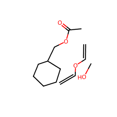 C=COC=C.CC(=O)OCC1CCCCC1.CO